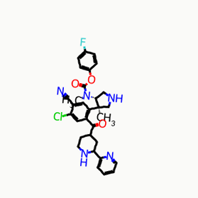 CN(C(=O)Oc1ccc(F)cc1)[C@@H]1CNC[C@@]1(C)c1cc(C#N)c(Cl)cc1C(=O)C1CCNC(c2ccccn2)C1